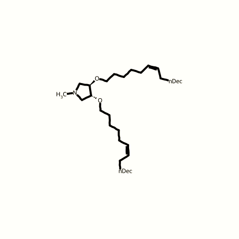 CCCCCCCCCCC/C=C\CCCCCO[C@@H]1CN(C)C[C@H]1OCCCCC/C=C\CCCCCCCCCCC